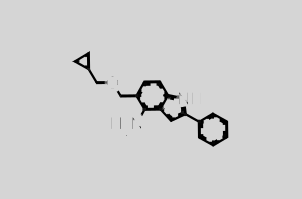 Nc1c(COCC2CC2)ccc2[nH]c(-c3ccccc3)cc12